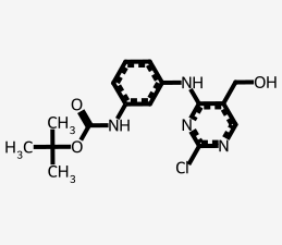 CC(C)(C)OC(=O)Nc1cccc(Nc2nc(Cl)ncc2CO)c1